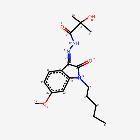 CCCCCN1C(=O)/C(=N\NC(=O)C(C)(C)O)c2ccc(OC)cc21